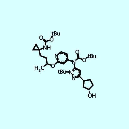 CC(CCC1(NC(=O)OC(C)(C)C)CC1)Oc1cc(N(C(=O)OC(C)(C)C)c2cc([C@H]3CC[C@@H](O)C3)nn2C(C)(C)C)ccn1